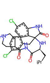 CC(C)C[C@H](NC1(Cc2cccc(Cl)c2)C(=O)Nc2cc(Cl)ccc21)C(=O)NC(=O)C1CCNCC1